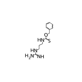 N=C(N)NCCCNC(=S)OCc1ccccc1